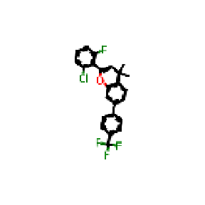 CC1(C)C=C(c2c(F)cccc2Cl)Oc2cc(-c3ccc(C(F)(F)F)cc3)ccc21